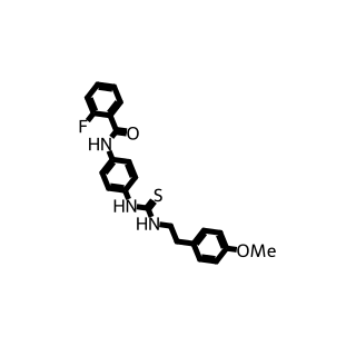 COc1ccc(CCNC(=S)Nc2ccc(NC(=O)c3ccccc3F)cc2)cc1